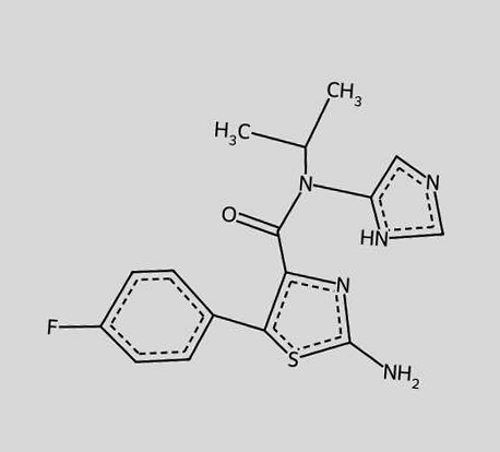 CC(C)N(C(=O)c1nc(N)sc1-c1ccc(F)cc1)c1cnc[nH]1